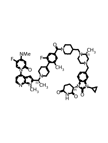 CNc1cc(=O)n(-c2ccnc3c2cc([C@H](C)N2CC=C(c4c(C)cc(C(=O)N5CCC(CN6CCN(Cc7ccc8c(c7)n(C7CC7)c(=O)n8[C@@H]7CCC(=O)NC7=O)C[C@@H]6C)CC5)cc4F)CC2)n3C)cc1F